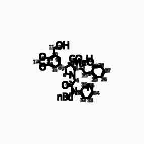 CCCCN(C(=O)CN1C[C@H](c2cc(CO)c3c(c2)OCO3)[C@@H](C(=O)O)[C@@H]1CCc1ccccc1OC)c1cccnc1